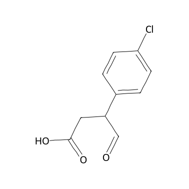 O=CC(CC(=O)O)c1ccc(Cl)cc1